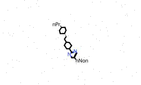 CCCCCCCCCc1cnc(C2CCC(CC[C@H]3CC[C@H](CCC)CC3)CC2)nc1